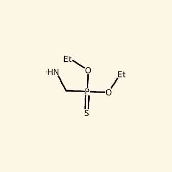 CCOP(=S)(C[NH])OCC